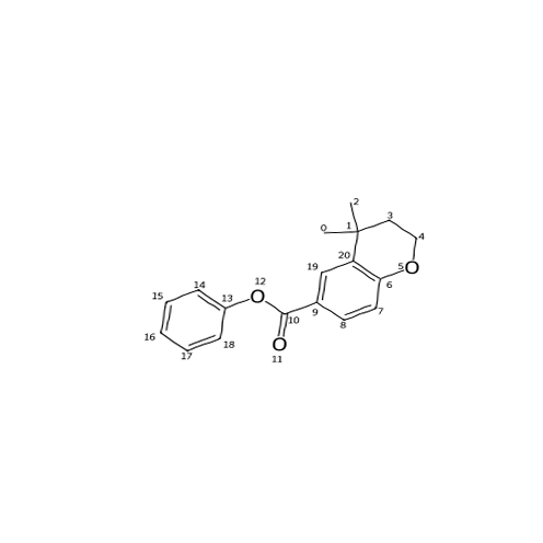 CC1(C)CCOc2ccc(C(=O)Oc3ccccc3)cc21